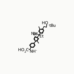 CCC(CC)(c1ccc(CC[C@H](O)C(C)(C)C)c(C)c1)c1ccc(-c2ccc(C([NH-])C(=O)O)cc2)c(C)c1.[Na+]